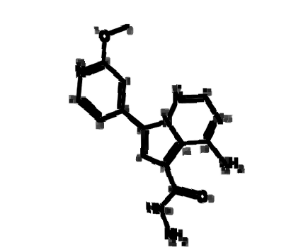 COc1cc(-c2cc(C(=O)NN)c3c(N)ncnn23)ccn1